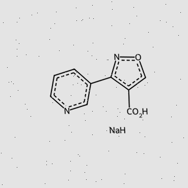 O=C(O)c1conc1-c1cccnc1.[NaH]